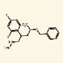 O=CNCC(CC(OCc1ccccc1)C(=O)O)c1ccc(F)cc1F